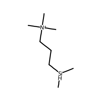 C[SiH](C)CCC[N+](C)(C)C